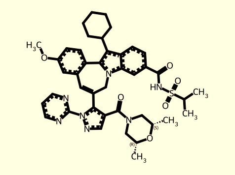 COc1ccc2c(c1)C=C(c1c(C(=O)N3C[C@@H](C)O[C@@H](C)C3)cnn1-c1ncccn1)Cn1c-2c(C2CCCCC2)c2ccc(C(=O)NS(=O)(=O)C(C)C)cc21